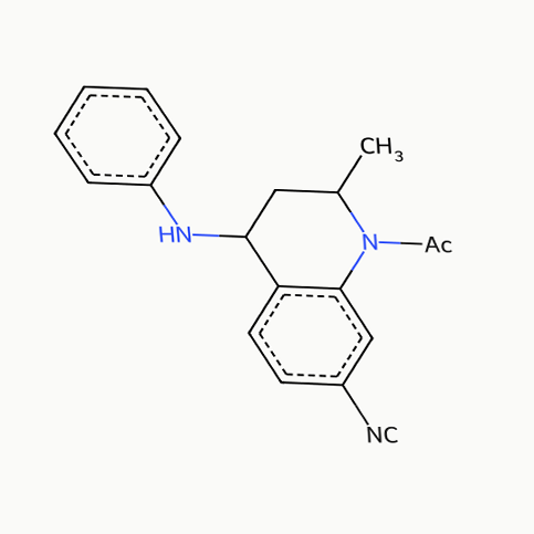 [C-]#[N+]c1ccc2c(c1)N(C(C)=O)C(C)CC2Nc1ccccc1